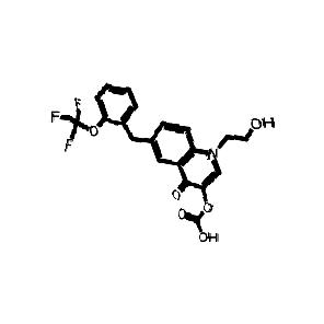 O=C(O)Oc1cn(CCO)c2ccc(Cc3ccccc3OC(F)(F)F)cc2c1=O